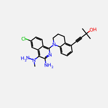 CN(N)c1c(N)nc(N2CCCc3c(C#CC(C)(C)O)cccc32)c2ccc(Cl)cc12